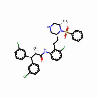 C[C@H](C(=O)Nc1cccc(F)c1CC[C@H]1CNC[C@H](C)N1S(=O)(=O)c1ccccc1)[C@H](c1cccc(F)c1)c1cccc(Cl)c1